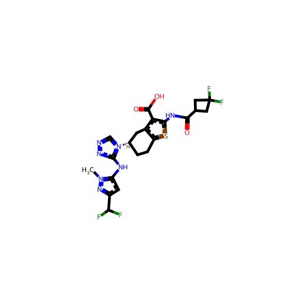 Cn1nc(C(F)F)cc1Nc1nncn1[C@H]1CCc2sc(NC(=O)C3CC(F)(F)C3)c(C(=O)O)c2C1